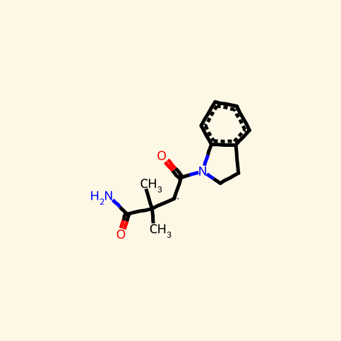 CC(C)([CH]C(=O)N1CCc2ccccc21)C(N)=O